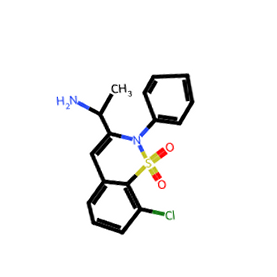 CC(N)C1=Cc2cccc(Cl)c2S(=O)(=O)N1c1ccccc1